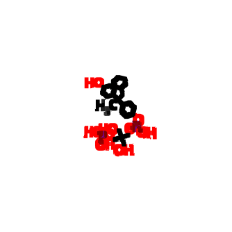 CC(Cc1ccccc1)(c1ccc(O)cc1)c1ccc(OP(O)OCC(CO)(CO)COP(O)O)cc1